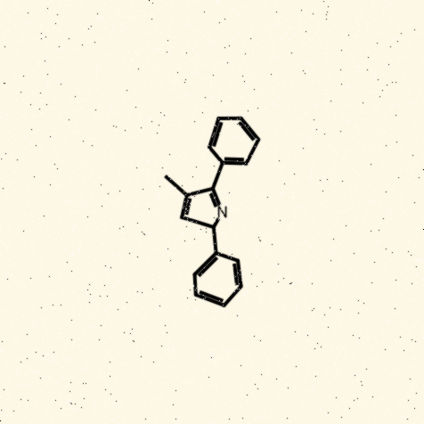 CC1=CC(c2ccccc2)N=C1c1ccccc1